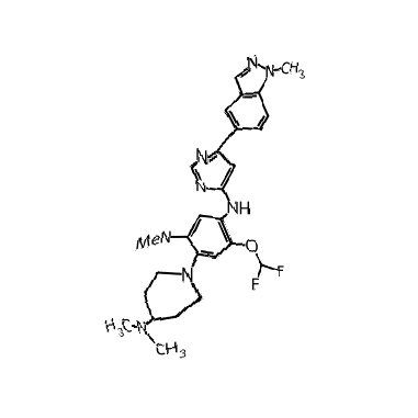 CNc1cc(Nc2cc(-c3ccc4c(cnn4C)c3)ncn2)c(OC(F)F)cc1N1CCC(N(C)C)CC1